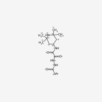 CCCC(=O)NNC(=O)C(=O)NC1CC(C)(C)NC(C)(C)C1